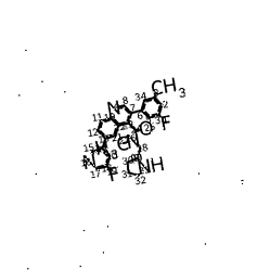 Cc1cc(F)cc(-c2cnc3ccc(-c4cncc(F)c4)cc3c2C(=O)N(C)C[C@@H]2CCCN2)c1